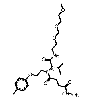 COCCOCOCCNC(=S)[C@H](C(C)C)N(CCOc1ccc(C)cc1)C(=O)CCC(=O)NO